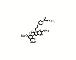 CC=CC(=O)N1CCN(CCCn2c(=O)c(-c3c(Cl)c(OC)cc(OC)c3Cl)cc3cnc(NC)nc32)CC1